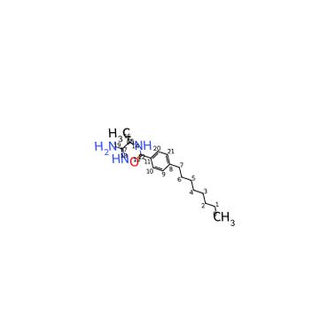 CCCCCCCCc1ccc(C(=O)N[C@H](C)C(=N)N)cc1